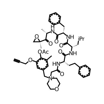 C#CCOc1cc(C[N+]2(CC(=O)N[C@@H](CCc3ccccc3)C(=O)N[C@@H](CC(C)C)C(=O)N[C@@H](Cc3ccccc3)C(=O)N[C@@H](C)C(=O)[C@@]3(C)CO3)CCOCC2)cc(C)c1OC(C)=O